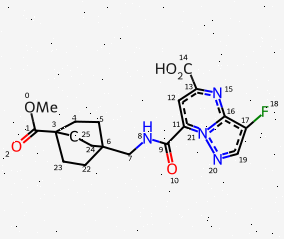 COC(=O)C12CCC(CNC(=O)c3cc(C(=O)O)nc4c(F)cnn34)(CC1)CC2